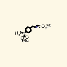 CCOC(=O)/C=C/CC1CCC(N(C)C(=O)OC(C)(C)C)CC1